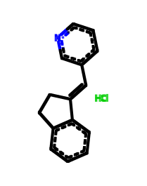 C(=C1/CCc2ccccc21)/c1cccnc1.Cl